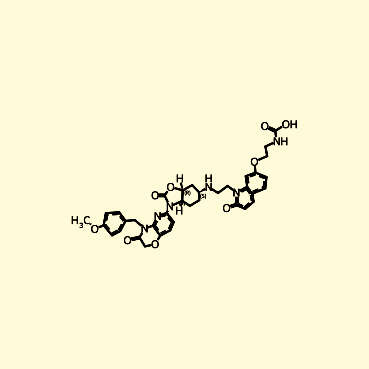 COc1ccc(CN2C(=O)COc3ccc(N4C(=O)O[C@@H]5C[C@@H](NCCn6c(=O)ccc7ccc(OCCNC(=O)O)cc76)CC[C@@H]54)nc32)cc1